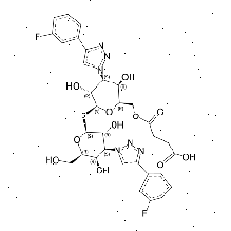 O=C(O)CCC(=O)OC[C@H]1O[C@@H](S[C@@H]2O[C@H](CO)[C@H](O)[C@H](n3cc(-c4cccc(F)c4)nn3)[C@H]2O)[C@H](O)[C@@H](n2cc(-c3cccc(F)c3)nn2)[C@H]1O